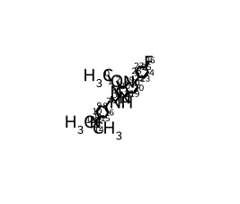 CCOc1nc(NCc2ccc(N(C)C)cc2)nc2ccc(-c3ccc(F)cc3)nc12